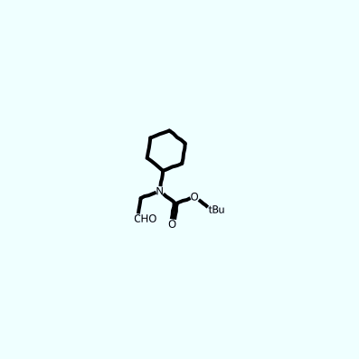 CC(C)(C)OC(=O)N(CC=O)C1CCCCC1